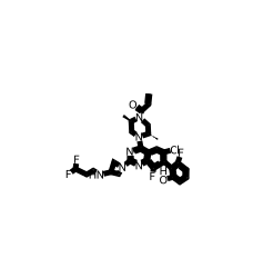 C=CC(=O)N1C[C@H](C)N(c2nc(N3CC(NCCC(F)F)C3)nc3c(F)c(-c4c(O)cccc4F)c(Cl)cc23)C[C@H]1C